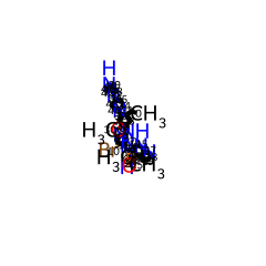 CCc1cc(Nc2ncc(Br)c(Nc3cnc4ncccc4c3P(C)(C)=O)n2)c(OC)cc1N1CCC(N2CCNCC2)CC1